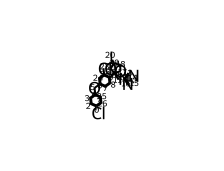 Clc1ccc(Oc2ccc(C3(Cn4cncn4)OCC(I)O3)c(Cl)c2)cc1